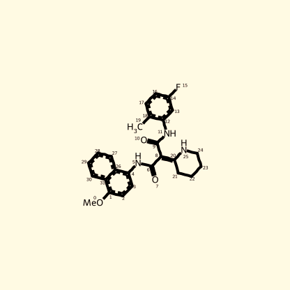 COc1ccc(NC(=O)/C(C(=O)Nc2cc(F)ccc2C)=C2\CCCCN2)c2ccccc12